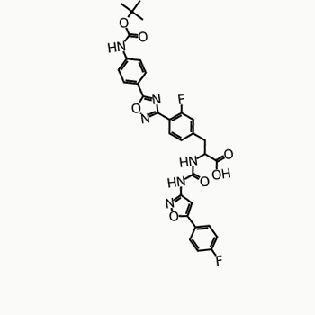 CC(C)(C)OC(=O)Nc1ccc(-c2nc(-c3ccc(CC(NC(=O)Nc4cc(-c5ccc(F)cc5)on4)C(=O)O)cc3F)no2)cc1